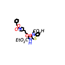 CCOC(=O)[C@@H](COCCCC1CCN(C(=O)OCc2ccccc2)CC1)NC1CSc2ccccc2N(CC(=O)O)C1=O